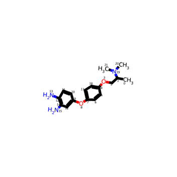 CC(COc1ccc(Oc2ccc(N)c(N)c2)cc1)N(C)C